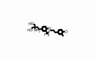 Cc1cc(CCCOc2ccc(CCC(N)(CO)CO)cc2C(F)(F)F)ccc1Cl